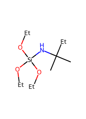 CCO[Si](NC(C)(C)CC)(OCC)OCC